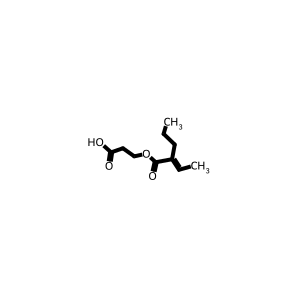 C/C=C(\CCC)C(=O)OCCC(=O)O